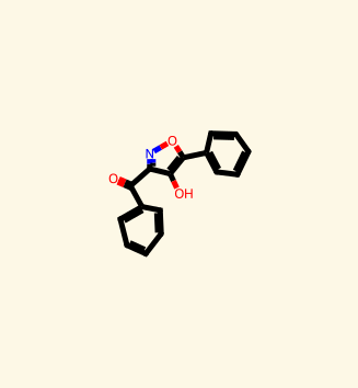 O=C(c1ccccc1)c1noc(-c2ccccc2)c1O